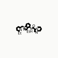 CCc1cccc(Cn2nc(CC)c3c(NC(=O)c4cnc5ccccn45)cccc32)n1